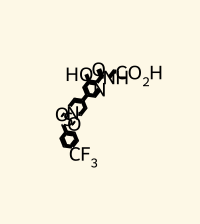 O=C(O)CNC(=O)c1ncc(C2=CCN(S(=O)(=O)Cc3ccc(C(F)(F)F)cc3)CC2)cc1O